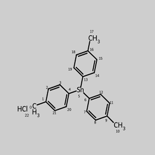 Cc1cc[c]([Sn]([c]2ccc(C)cc2)[c]2ccc(C)cc2)cc1.Cl